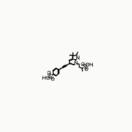 CC1N=C2C(=CC(C#Cc3ccc(S(=O)(=O)O)cc3)=CN2CCC(C)S(=O)(=O)O)C1(C)C